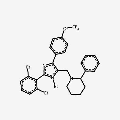 CCc1cccc(CC)c1-c1nc(-c2ccc(OC(F)(F)F)cc2)c(CN2CCCCC2c2ccccc2)n1CC